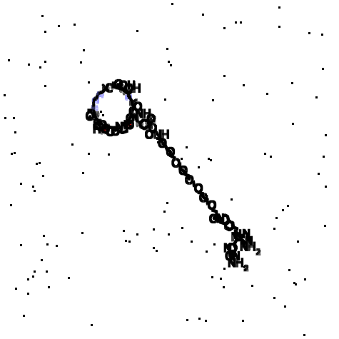 CO[C@H]1C[C@@H]2CC[C@@H](C)[C@@](O)(O2)C(=O)C(=O)N2CCCC[C@H]2C(=O)O[C@H]([C@H](N)C[C@@H]2CC[C@@H](OC(=O)NCCOCCOCCOCCOCCOCCOCCOCCOCCC(=O)N3CCc4cc(Cn5nc(-c6cnc7oc(N)nc7c6)c6c(N)ncnc65)ccc4C3)[C@H](OC)C2)CC(=O)[C@H](C)/C=C(\C)[C@@H](O)[C@@H](O)C(=O)[C@H](C)C[C@H](C)/C=C/C=C/C=C/1C